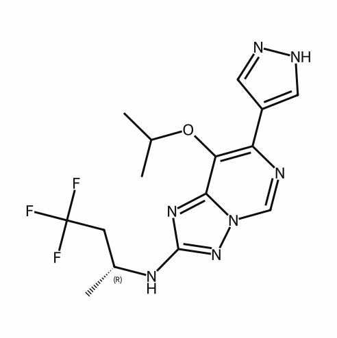 CC(C)Oc1c(-c2cn[nH]c2)ncn2nc(N[C@H](C)CC(F)(F)F)nc12